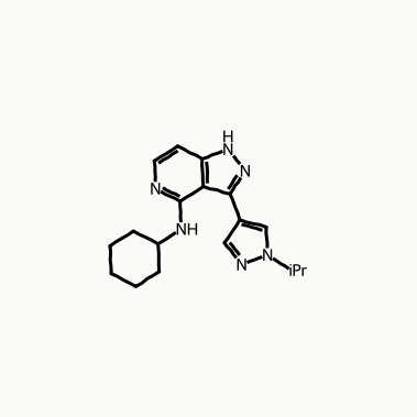 CC(C)n1cc(-c2n[nH]c3ccnc(NC4CCCCC4)c23)cn1